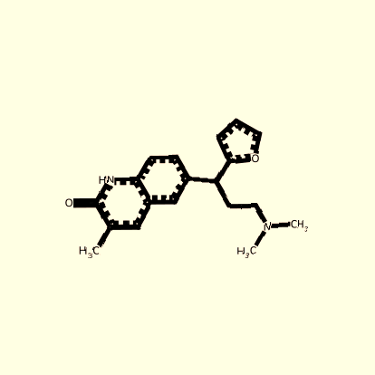 Cc1cc2cc(C(CCN(C)C)c3ccco3)ccc2[nH]c1=O